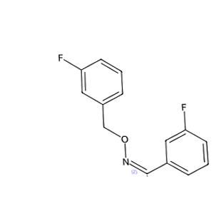 Fc1cccc(/[C]=N\OCc2cccc(F)c2)c1